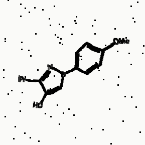 COc1ccc(-n2cc(O)c(C(C)C)n2)cc1